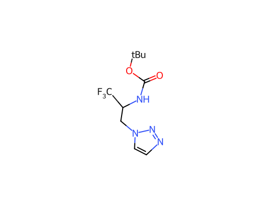 CC(C)(C)OC(=O)NC(Cn1ccnn1)C(F)(F)F